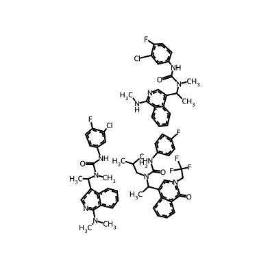 CC(C)CN(C(=O)Nc1ccc(F)cc1)C(C)c1cn(CC(F)(F)F)c(=O)c2ccccc12.CC(c1cnc(N(C)C)c2ccccc12)N(C)C(=O)Nc1ccc(F)c(Cl)c1.CNc1ncc(C(C)N(C)C(=O)Nc2ccc(F)c(Cl)c2)c2ccccc12